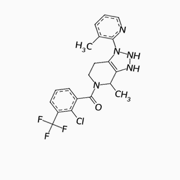 Cc1cccnc1N1NNC2=C1CCN(C(=O)c1cccc(C(F)(F)F)c1Cl)C2C